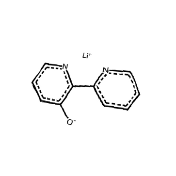 [Li+].[O-]c1cccnc1-c1ccccn1